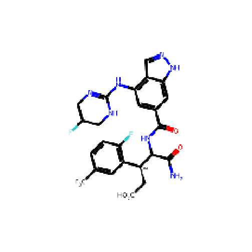 NC(=O)C(NC(=O)c1cc(NC2=NCC(F)CN2)c2cn[nH]c2c1)[C@@H](CC(=O)O)c1cc(C(F)(F)F)ccc1F